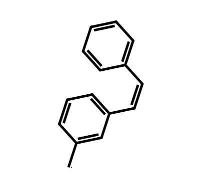 [CH2]c1cccc(/C=C\c2ccccc2)c1